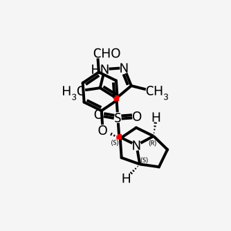 Cc1n[nH]c(C)c1S(=O)(=O)CN1[C@@H]2CC[C@H]1C[C@H](Oc1ccc(C=O)cc1)C2